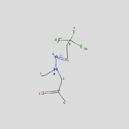 CC(=O)CN(C)/N=C/C(F)(F)F